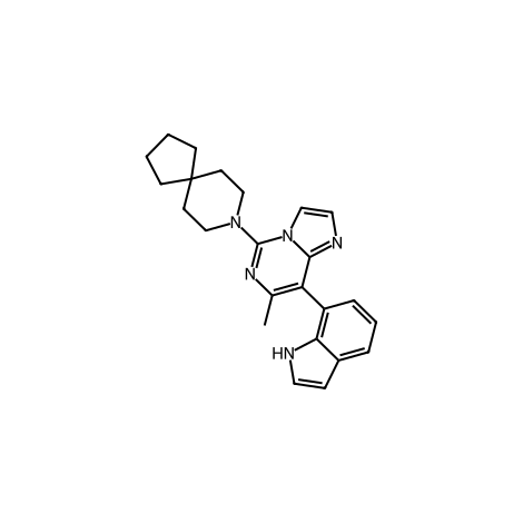 Cc1nc(N2CCC3(CCCC3)CC2)n2ccnc2c1-c1cccc2cc[nH]c12